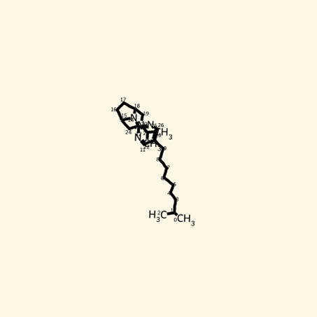 CC(C)CCCCCCCc1cnc(N2C3CCC2CN(C(C)C)C3)nc1